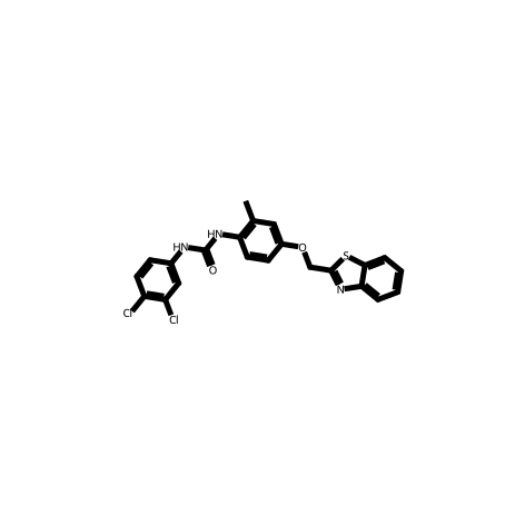 Cc1cc(OCc2nc3ccccc3s2)ccc1NC(=O)Nc1ccc(Cl)c(Cl)c1